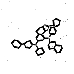 c1ccc(-c2ccc(N(c3ccccc3)c3cc(N(c4ccccc4)c4ccc5ccccc5c4)c4c(ccc5nc(-c6ccccc6)oc54)c3)cc2)cc1